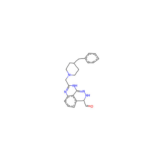 O=CC1NN=C2NC(CN3CCC(Cc4ccccc4)CC3)=Nc3cccc1c32